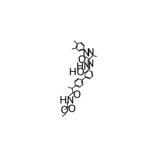 CCOC(=O)CNCC(=O)C(C)c1ccc(-c2cccc(N/N=C3\C(=O)N(c4ccc(C)c(C)c4)N=C3C)c2O)cc1